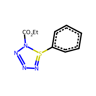 CCOC(=O)N1N=NN=S1c1ccccc1